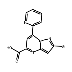 O=C(O)c1cc(-c2ccccn2)n2nc(Br)cc2n1